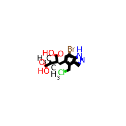 CC(C)(C(=O)O)[C@H](Cc1cc(Br)c2[nH]ncc2c1CCl)C(=O)O